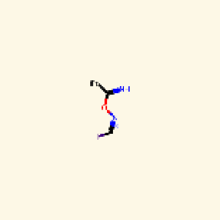 CC(C)C(=N)O/N=C\I